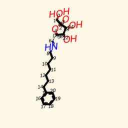 OC[C@@]1(O)O[C@@H](CNCCCCCCCc2ccccc2)[C@@H](O)[C@@H]1O